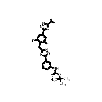 CC(C)(C)OC(=O)Nc1cccc(-c2nc(Cc3c(F)cc(-c4nnc(C(F)F)o4)cc3F)no2)c1